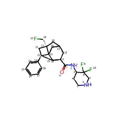 O=C(NC1CCNCC1(F)F)C12CC3CC4(C1)[C@](CF)(C3)C[C@@]4(c1ccccc1)C2